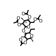 CCC1O[C@@H](C)C(OC(C)=O)[C@@H](C)[C@H]1O[C@@H]1OC(COC(C)=O)[C@H](OC(C)=O)[C@H](C)C1OC(C)=O